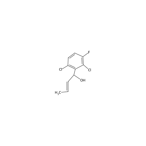 C/C=C/C(O)c1c(Cl)ccc(F)c1Cl